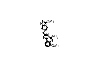 COc1cccc2c1nc(N)n1nc(CN3CCn4c(nnc4OC)C3)nc21